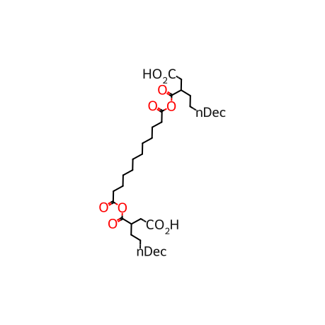 CCCCCCCCCCCCC(CC(=O)O)C(=O)OC(=O)CCCCCCCCCCC(=O)OC(=O)C(CCCCCCCCCCCC)CC(=O)O